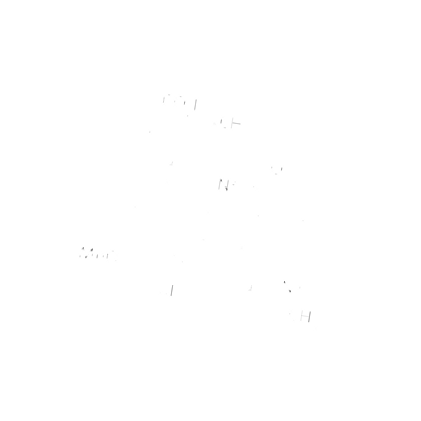 COc1cc2c(CC(=O)O)c(C)n(C(=O)C3CCN(C)CC3)c2cc1F